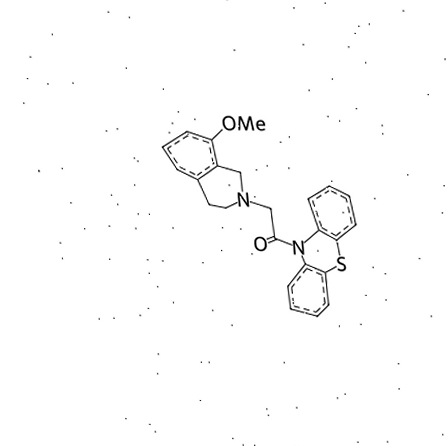 COc1cccc2c1CN(CC(=O)N1c3ccccc3Sc3ccccc31)CC2